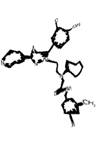 Cc1cc(F)ccc1NC(=O)N(CCn1nc(-c2ccncc2)nc1-c1ccc(O)c(Cl)c1)C1CCCC1